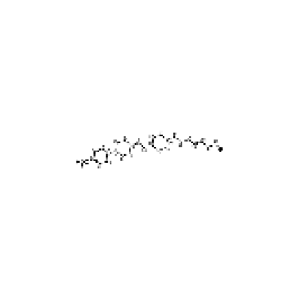 Cc1ccc([C@H]2CC[C@H](CC[C@H]3CC[C@H](CCCC=CCCF)CC3)CC2)cc1